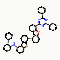 N=C(/N=C(\N=C\c1ccccc1)c1cccc2c1oc1cccc(-c3cccc4c3sc3cccc(Nc5ccccc5-c5ccccc5)c34)c12)c1ccccc1